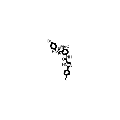 COc1ccc(NC(=O)c2cnc(-c3ccc(Cl)cc3)[nH]2)cc1S(=O)(=O)Nc1ccc(Br)cc1